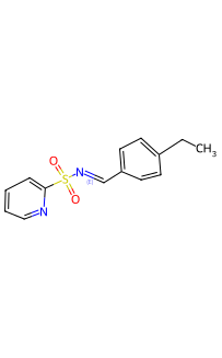 CCc1ccc(/C=N/S(=O)(=O)c2ccccn2)cc1